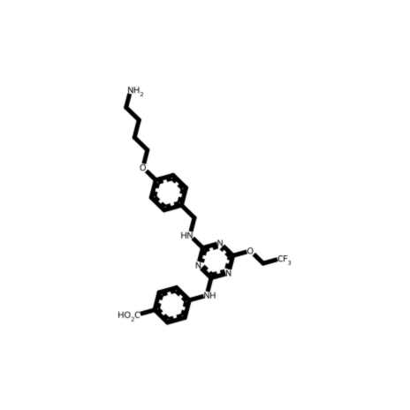 NCCCCOc1ccc(CNc2nc(Nc3ccc(C(=O)O)cc3)nc(OCC(F)(F)F)n2)cc1